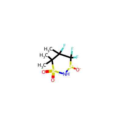 CC1(F)C(F)(F)[S+]([O-])NS(=O)(=O)C1(C)C